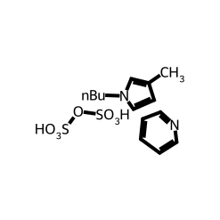 CCCCn1ccc(C)c1.O=S(=O)(O)OS(=O)(=O)O.c1ccncc1